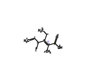 C=CC(F)/C(CC)=C(\C)C(=O)O